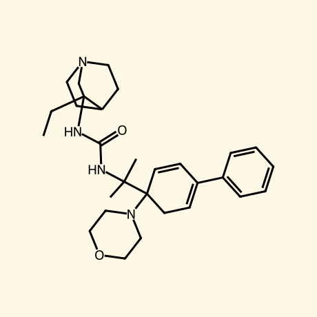 CCC1(NC(=O)NC(C)(C)C2(N3CCOCC3)C=CC(c3ccccc3)=CC2)CN2CCC1CC2